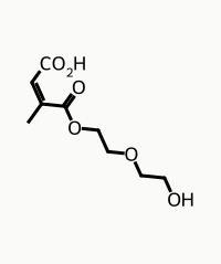 C/C(=C/C(=O)O)C(=O)OCCOCCO